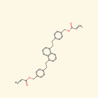 C=CC(=O)OCc1ccc(CCc2cccc3c(CCc4ccc(COC(=O)C=C)cc4)cccc23)cc1